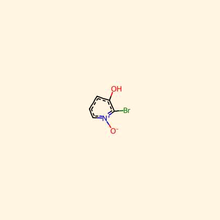 [O-][n+]1cccc(O)c1Br